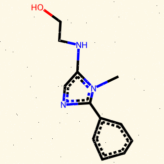 Cn1c(NCCO)cnc1-c1ccccc1